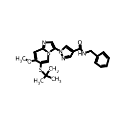 COc1cc2ncc(-n3cc(C(=O)NCc4ccccc4)cn3)n2cc1SC(C)(C)C